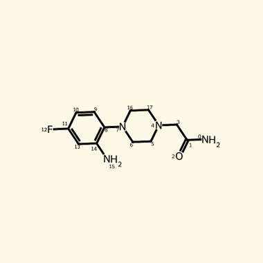 NC(=O)CN1CCN(c2ccc(F)cc2N)CC1